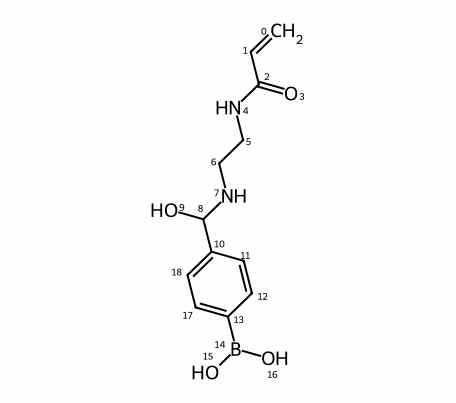 C=CC(=O)NCCNC(O)c1ccc(B(O)O)cc1